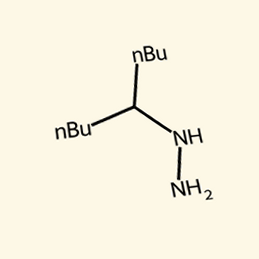 CCCCC(CCCC)NN